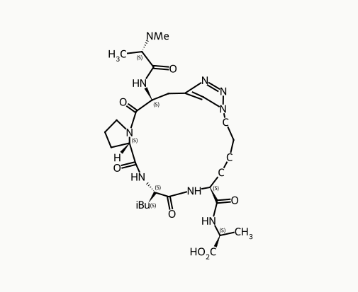 CC[C@H](C)[C@@H]1NC(=O)[C@@H]2CCCN2C(=O)[C@@H](NC(=O)[C@H](C)NC)Cc2cn(nn2)CCCC[C@@H](C(=O)N[C@@H](C)C(=O)O)NC1=O